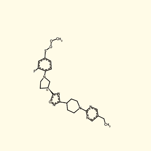 CCc1cnc(N2CCC(c3noc([C@H]4CCN(c5ccc(SOOC)cc5F)C4)n3)CC2)nc1